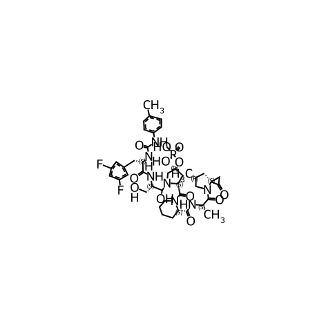 Cc1ccc(NC(=O)N[C@@H](Cc2cc(F)cc(F)c2)C(=O)N[C@@H](CO)C(O)N2C[C@H](OP(=O)(O)O)C[C@H]2C(=O)N2CCCC[C@H]2C(=O)N[C@@H](C)C(=O)N2C[C@H](C)C[C@@]23CC3=O)cc1